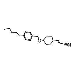 CCCCCc1ccc(CO[C@H]2CC[C@H](/C=C/C#N)CC2)cc1